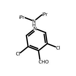 CC(C)NC(C)C.O=Cc1c(Cl)cncc1Cl